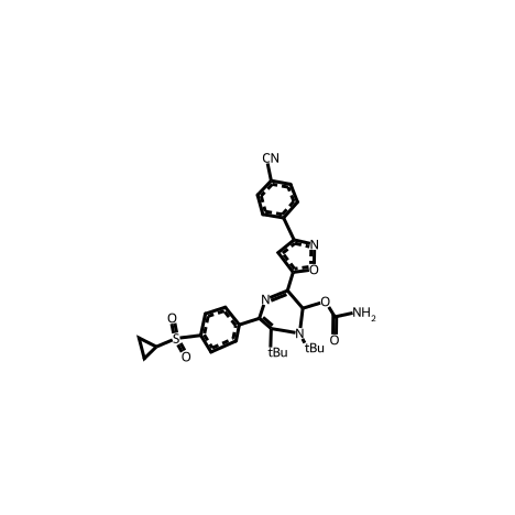 CC(C)(C)C1=C(c2ccc(S(=O)(=O)C3CC3)cc2)N=C(c2cc(-c3ccc(C#N)cc3)no2)C(OC(N)=O)N1C(C)(C)C